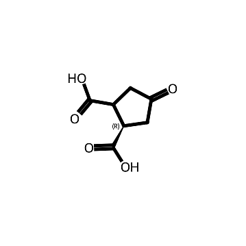 O=C1CC(C(=O)O)[C@H](C(=O)O)C1